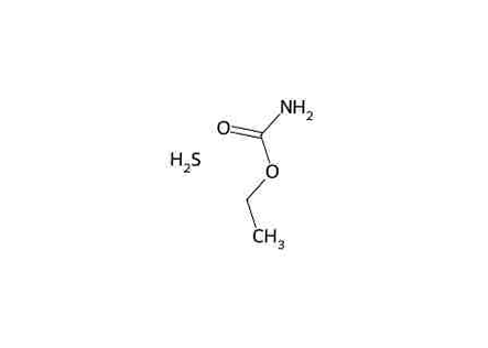 CCOC(N)=O.S